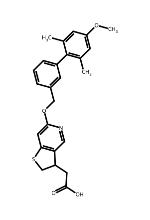 COc1cc(C)c(-c2cccc(COc3cc4c(cn3)C(CC(=O)O)CS4)c2)c(C)c1